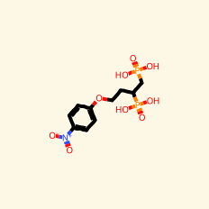 O=[N+]([O-])c1ccc(OCCC(CP(=O)(O)O)P(=O)(O)O)cc1